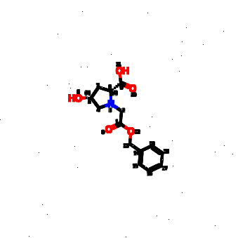 O=C(CN1C[C@H](O)C[C@@H]1C(=O)O)OCc1ccccc1